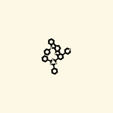 c1ccc(-c2nc(-c3ccccc3)nc(-c3ccc(-c4ccncc4)c4c3sc3c4ccc4c5ccccc5n(-c5ccccc5)c43)n2)cc1